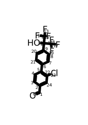 O=Cc1ccc(-c2ccc(C(O)(C(F)(F)F)C(F)(F)F)cc2)c(Cl)c1